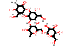 COC1C(O)[C@H](OC2C(O)[C@H](OC3C(O)C(C)OC(CO[C@@H]4OC(CO)[C@@H](O)C(O)C4O)[C@H]3O)CC(CO)[C@H]2O)CC(CO)[C@H]1O